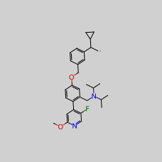 [CH2]C(c1cccc(COc2ccc(-c3cc(OC)ncc3F)c(CN(C(C)C)C(C)C)c2)c1)C1CC1